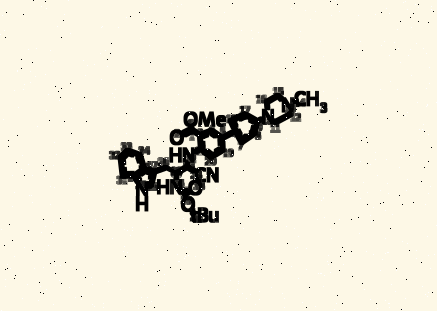 COC(=O)c1cc(-c2ccc(N3CCN(C)CC3)cc2)ccc1NC(C#N)[C@H](Cc1c[nH]c2ccccc12)NC(=O)OC(C)(C)C